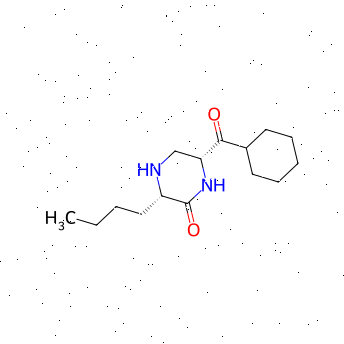 CCCC[C@@H]1NC[C@H](C(=O)C2CCCCC2)NC1=O